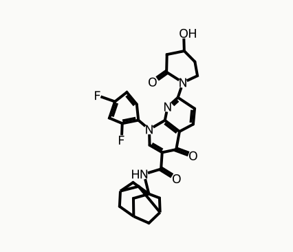 O=C(NC12CC3CC(CC(C3)C1)C2)c1cn(-c2ccc(F)cc2F)c2nc(N3CCC(O)CC3=O)ccc2c1=O